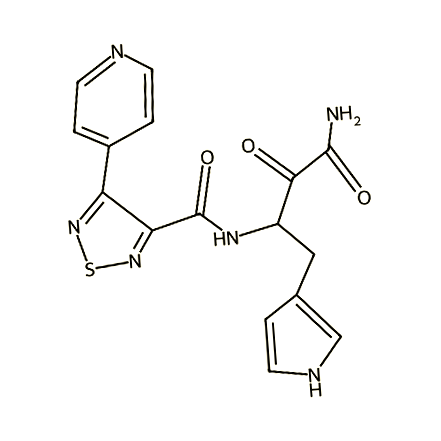 NC(=O)C(=O)C(Cc1cc[nH]c1)NC(=O)c1nsnc1-c1ccncc1